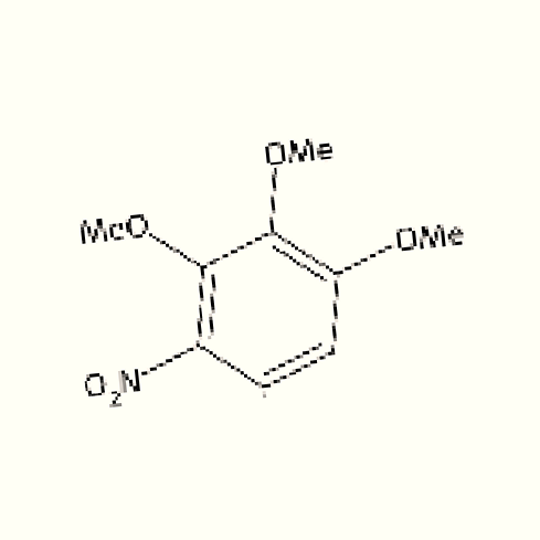 COc1c[c]c([N+](=O)[O-])c(OC)c1OC